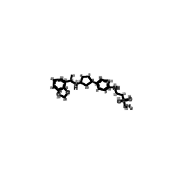 C[C@@H](N[C@H]1CC[C@@H](c2ccc(NCCS(N)(=O)=O)nc2)C1)c1cccc2c1OCO2